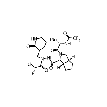 CC(C)(C)[C@H](NC(=O)C(F)(F)F)C(=O)N1C[C@@H]2CCC[C@@H]2[C@H]1C(=O)NN(C[C@@H]1CCCNC1=O)C(=O)[C@H](F)Cl